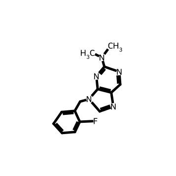 CN(C)c1ncc2ncn(Cc3ccccc3F)c2n1